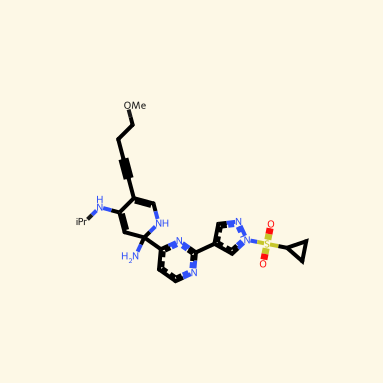 COCCC#CC1=CNC(N)(c2ccnc(-c3cnn(S(=O)(=O)C4CC4)c3)n2)C=C1NC(C)C